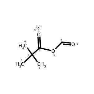 CC(C)(C)C(=O)OC=O.[La]